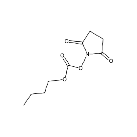 CCCCOC(=O)ON1C(=O)CCC1=O